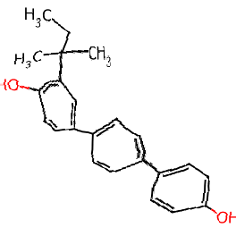 CCC(C)(C)c1cc(-c2ccc(-c3ccc(O)cc3)cc2)ccc1O